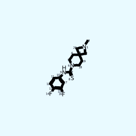 CN1CC2(CCN(C(=S)Nc3ccc(F)c(F)c3)CC2)C1